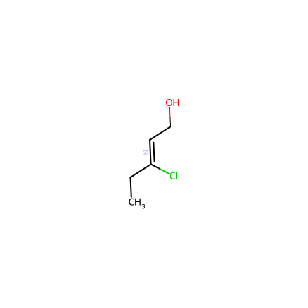 CC/C(Cl)=C/CO